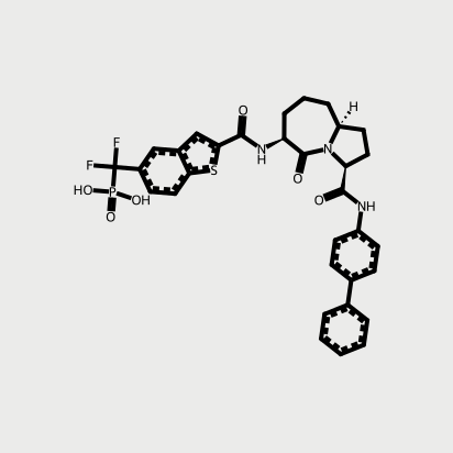 O=C(N[C@H]1CCC[C@H]2CC[C@@H](C(=O)Nc3ccc(-c4ccccc4)cc3)N2C1=O)c1cc2cc(C(F)(F)P(=O)(O)O)ccc2s1